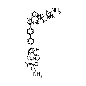 CC(C)[C@H](C(=O)OCN)C(=O)N1CCC[C@H]1c1ncc(-c2ccc(-c3ccc(-c4cnc([C@@H]5CCCN5C(=O)[C@@H](Nc5nc(N)n(C)n5)C(C)C)[nH]4)cc3)cc2)[nH]1